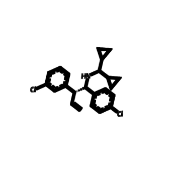 C=C[C@H](c1cccc(Cl)c1)C(NC(C1CC1)C1CC1)c1ccc(Cl)cc1